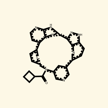 O=C(C1CCC1)n1c2cncc(c2)c2ccc3[nH]nc(c4nc5c(nccc5c5ccc1s5)[nH]4)c3n2